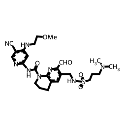 COCCNc1cc(NC(=O)N2CCCc3cc(CNS(=O)(=O)CCCN(C)C)c(C=O)nc32)ncc1C#N